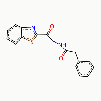 O=C(Cc1ccccc1)NCC(=O)c1nc2ccccc2s1